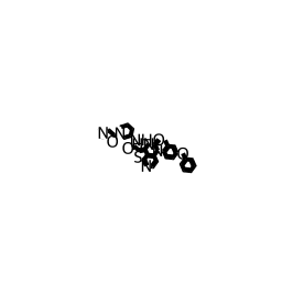 Cc1cc(Oc2ccccc2)ccc1N1C(=O)Nc2c(C(=O)NC3CCCN(C(=O)CN(C)C)C3)sc3nccc1c23